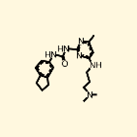 Cc1cc(NCCCN(C)C)nc(NC(=O)Nc2ccc3c(c2)CCC3)n1